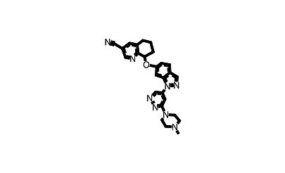 CN1CCN(c2cc(-n3ncc4ccc(OC5CCCc6cc(C#N)cnc65)cc43)cnn2)CC1